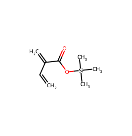 C=CC(=C)C(=O)O[Si](C)(C)C